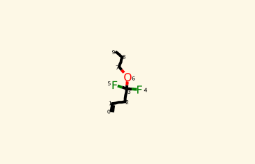 C=CCC(F)(F)OCCC